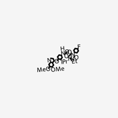 CCn1nc(OC(=O)Nc2ccc(Oc3ccnc4cc(OC)c(OC)cc34)c(C(C)C)c2)c(=O)n(-c2ccc(F)cc2)c1=O